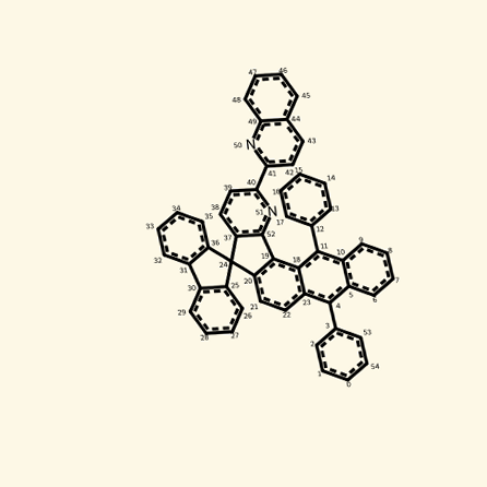 c1ccc(-c2c3ccccc3c(-c3ccccc3)c3c4c(ccc23)C2(c3ccccc3-c3ccccc32)c2ccc(-c3ccc5ccccc5n3)nc2-4)cc1